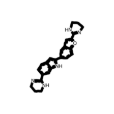 c1cc2cc(-c3ccc4oc(C5=NCCCN5)cc4c3)[nH]c2cc1C1=NCCCN1